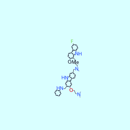 COc1ccc2c([nH]c3ccc(F)cc32)c1CCCN(C)Cc1ccc2c(c1)[nH]c1cc(CNc3ccccc3)c(OCCN(C)C)cc12